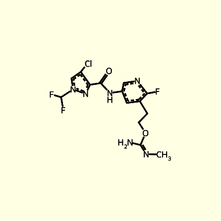 C/N=C(/N)OCCc1cc(NC(=O)c2nn(C(F)F)cc2Cl)cnc1F